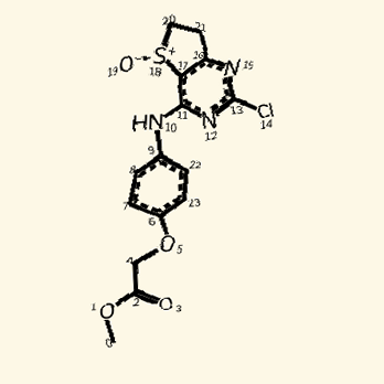 COC(=O)COc1ccc(Nc2nc(Cl)nc3c2[S@+]([O-])CC3)cc1